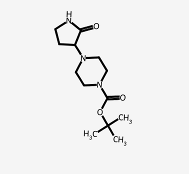 CC(C)(C)OC(=O)N1CCN(C2CCNC2=O)CC1